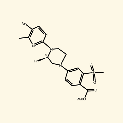 COC(=O)c1ccc(N2CCN(c3ncc(C(C)=O)c(C)n3)[C@H](C(C)C)C2)cc1S(C)(=O)=O